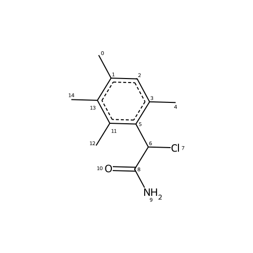 Cc1cc(C)c(C(Cl)C(N)=O)c(C)c1C